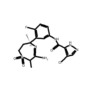 CC1C(N)=N[C@](C)(c2cc(NC(=O)c3[nH]ncc3Cl)ccc2F)CCS1(=O)=O